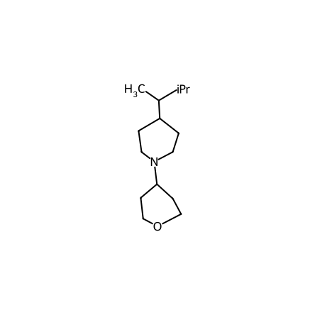 CC(C)C(C)C1CCN(C2CCOCC2)CC1